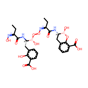 CC/C(=N/O)C(=O)N[C@@H](Cc1cccc(C(=O)O)c1O)B(O)OO/N=C(/CC)C(=O)N[C@H]1Cc2cccc(C(=O)O)c2OB1O